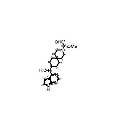 CO[C@@H](C=O)N1CCC2(CCC(N(C)c3ncnc4[nH]ccc34)CC2)CC1